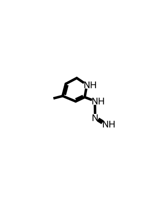 CC1=CCNC(NN=N)=C1